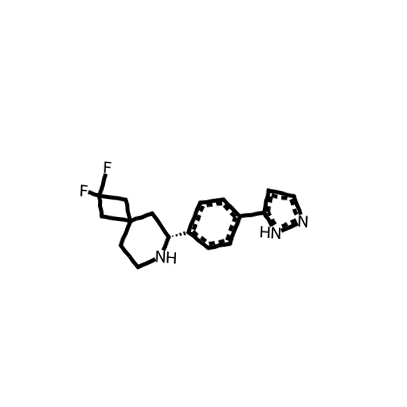 FC1(F)CC2(CCN[C@@H](c3ccc(-c4ccn[nH]4)cc3)C2)C1